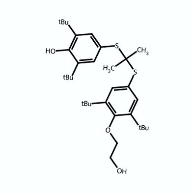 CC(C)(Sc1cc(C(C)(C)C)c(O)c(C(C)(C)C)c1)Sc1cc(C(C)(C)C)c(OCCO)c(C(C)(C)C)c1